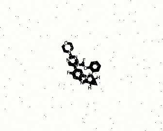 Fc1cc2nc3n(c2cc1-c1cnc(N2CCOCC2)nc1)[C@H](c1ccccc1OC(F)F)[C@@H]1C[C@H]31